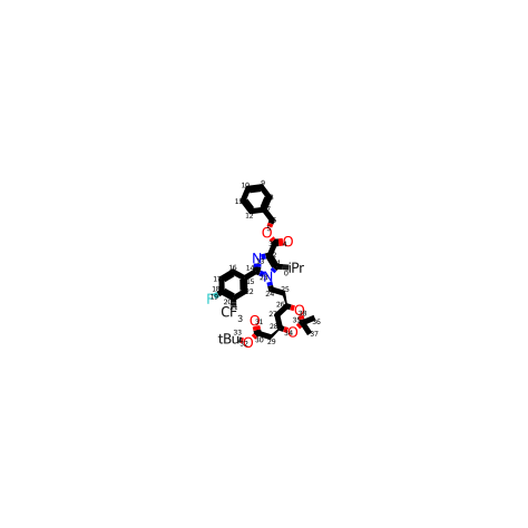 CC(C)c1c(C(=O)OCc2ccccc2)nc(-c2ccc(F)c(C(F)(F)F)c2)n1CC[C@@H]1C[C@H](CC(=O)OC(C)(C)C)OC(C)(C)O1